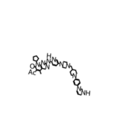 CC(=O)c1c(C)c2cnc(Nc3ccc(N4CCN(CC5CCN(c6ccc(N7C=CCNC7)cc6)CC5)CC4)cn3)nc2n(C2CCCC2)c1=O